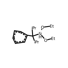 CCO[SiH](OCC)C(c1ccccc1)(C(C)C)C(C)C